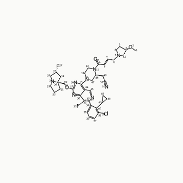 CO[C@@H]1CCN(C/C=C/C(=O)N2CCN(c3nc(OC[C@@]45CCCN4C[C@H](F)C5)nc4c(F)c(-c5cccc(Cl)c5C5CC5)ncc34)C[C@@H]2CC#N)C1